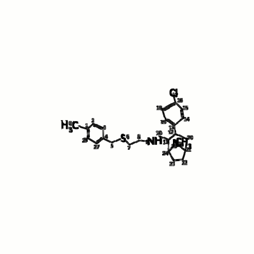 Cc1ccc(CSCCNCC2C(c3ccc(Cl)cc3)CC3CCC2N3C)cc1